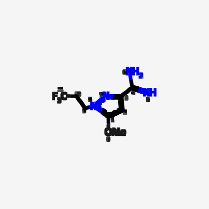 COc1cc(C(=N)N)nn1CCC(F)(F)F